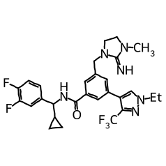 CCn1cc(-c2cc(CN3CCN(C)C3=N)cc(C(=O)NC(c3ccc(F)c(F)c3)C3CC3)c2)c(C(F)(F)F)n1